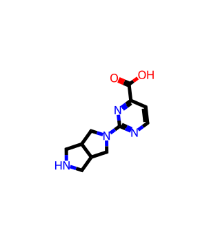 O=C(O)c1ccnc(N2CC3CNCC3C2)n1